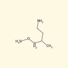 CC(CCN)[SiH2]O[SiH3]